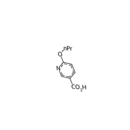 CCCOc1ccc(C(=O)O)cn1